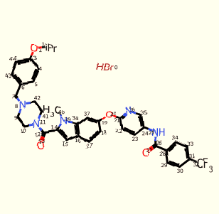 Br.CC(C)Oc1ccc(CN2CCN(C(=O)c3cc4ccc(Oc5ccc(NC(=O)c6ccc(C(F)(F)F)cc6)cn5)cc4n3C)CC2)cc1